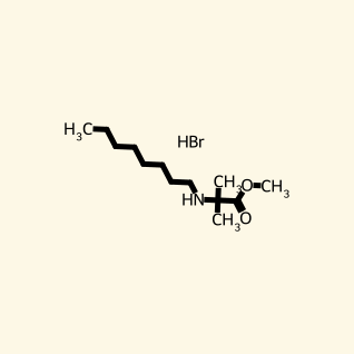 Br.CCCCCCCCNC(C)(C)C(=O)OC